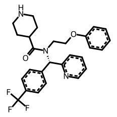 O=C(C1CCNCC1)N(CCOc1ccccc1)[C@@H](c1ccc(C(F)(F)F)cc1)c1ccccn1